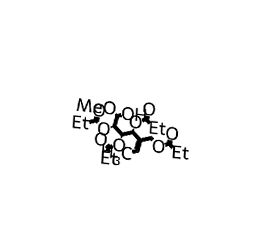 C/C=C(/COC(=O)CC)[C@@H](OC(=O)CC)[C@H](OC(=O)CC)[C@H](OC(=O)CC)[C@H](O)OC